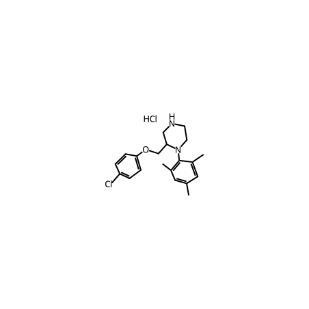 Cc1cc(C)c(N2CCNCC2COc2ccc(Cl)cc2)c(C)c1.Cl